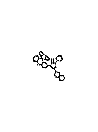 C1=C(c2ccc3c(c2)C2(c4ccccc4O3)c3ccccc3-c3ccccc32)NC(c2ccccc2)N=C1c1ccc2ccccc2c1